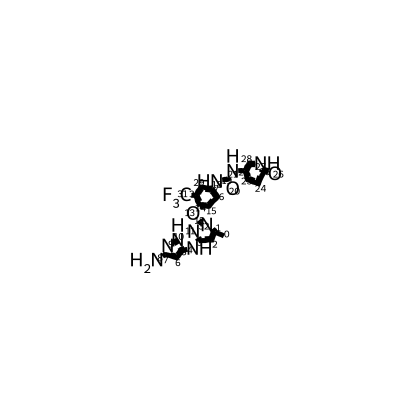 Cc1cc(Nc2cc(N)n[nH]2)nc(Oc2ccc(NC(=O)Nc3ccc(=O)[nH]c3)cc2C(F)(F)F)n1